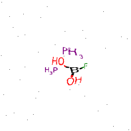 OB(O)F.P.P